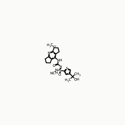 C[C@H]1CCc2c1nc1c(c2NC(=O)N=[S@](=O)(NC#N)c2cc(C(C)(C)O)cs2)CCC1